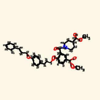 COC(=O)c1ccc(OCCCc2ccc(OCCCc3ccccc3)cc2)c(C(=O)N2CCC(C(=O)OC)CC2)c1